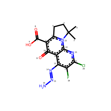 CC1(C)CCc2c(C(=O)O)c(=O)c3c(N=NN)c(F)c(Cl)nc3n21